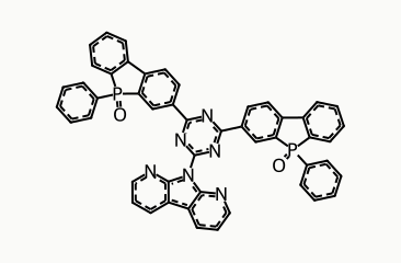 O=P1(c2ccccc2)c2ccccc2-c2ccc(-c3nc(-c4ccc5c(c4)P(=O)(c4ccccc4)c4ccccc4-5)nc(-n4c5ncccc5c5cccnc54)n3)cc21